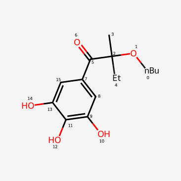 CCCCOC(C)(CC)C(=O)c1cc(O)c(O)c(O)c1